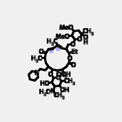 CCC1OC(=O)CC(O)C(C)C(OC2OC(C)C(O)C(N(C)C)C2O)C(CCN2CCCCC2)CC(C)C(=O)/C=C/C(C)=C/C1COC1OC(C)(O)CC(OC)C1OC